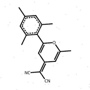 CC1=CC(=C(C#N)C#N)C=C(c2c(C)cc(C)cc2C)O1